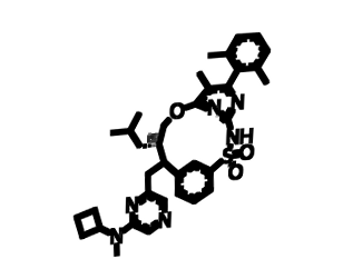 Cc1cccc(C)c1-c1nc2nc(c1C)OC[C@@H](CC(C)C)C(Cc1cncc(N(C)C3CCC3)n1)c1cccc(c1)S(=O)(=O)N2